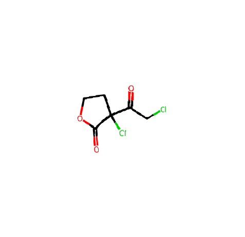 O=C(CCl)C1(Cl)CCOC1=O